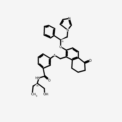 CC[C@H](CO)NC(=O)c1cccc(SCc2c(O[C@H](Cn3ccnc3)c3ccccc3)ccc3c2CCCC3=O)c1